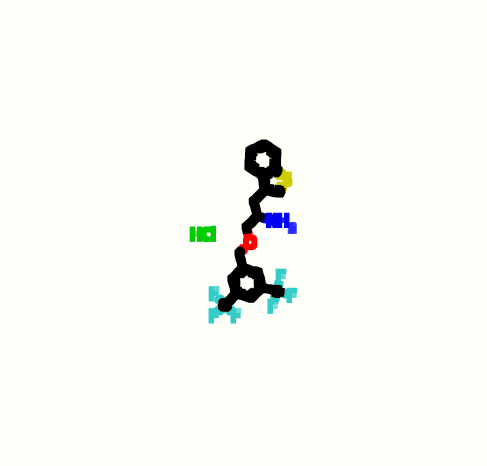 Cl.NC(COCc1cc(C(F)(F)F)cc(C(F)(F)F)c1)Cc1csc2ccccc12